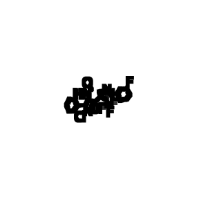 O=CNc1c(-c2c(F)cccc2Cl)noc1-c1cnn(-c2cccc(F)c2)c1C(F)(F)F